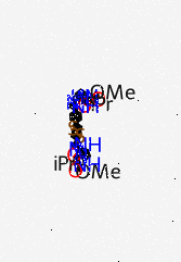 COC(=O)N[C@H](C(=O)N1CC=C[C@H]1c1ncc(-c2cc3sc(-c4ccc(-c5cnc([C@@H]6CCCN6C(=O)[C@@H](NC(=O)OC)C(C)C)[nH]5)cc4)cc3s2)[nH]1)C(C)C